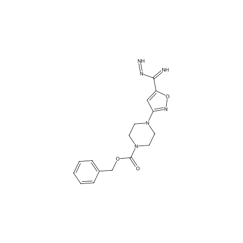 N=NC(=N)c1cc(N2CCN(C(=O)OCc3ccccc3)CC2)no1